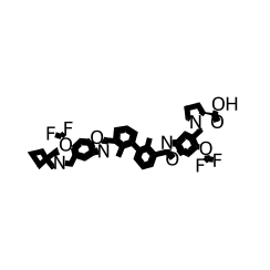 Cc1c(-c2nc3cc(CN4CC5(CCC5)C4)c(OC(F)F)cc3o2)cccc1-c1cccc(-c2nc3cc(CN4CCC[C@H]4C(=O)O)c(OC(F)F)cc3o2)c1C